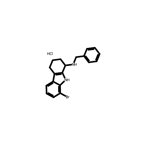 Brc1cccc2c3c([nH]c12)C(NCc1ccccc1)CCC3.Cl